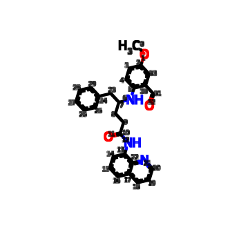 COc1ccc(NC(CCC(=O)Nc2cccc3cccnc23)Cc2ccccc2)c(C=O)c1